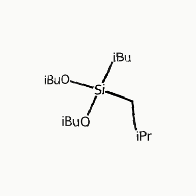 CCC(C)[Si](CC(C)C)(OCC(C)C)OCC(C)C